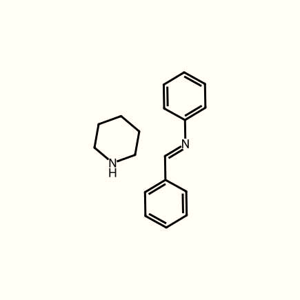 C(=N\c1ccccc1)/c1ccccc1.C1CCNCC1